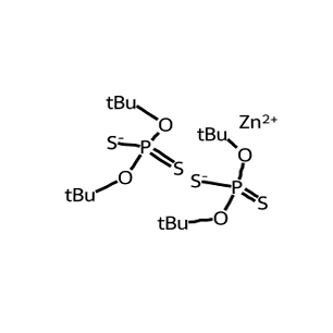 CC(C)(C)OP(=S)([S-])OC(C)(C)C.CC(C)(C)OP(=S)([S-])OC(C)(C)C.[Zn+2]